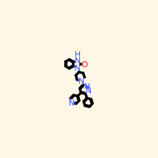 O=c1[nH]c2ccccc2n1C1CCN(c2cc(-c3ccncc3)c(-c3ccccc3)nn2)CC1